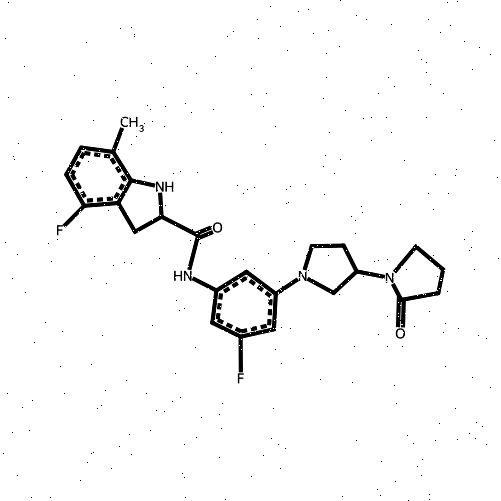 Cc1ccc(F)c2c1NC(C(=O)Nc1cc(F)cc(N3CCC(N4CCCC4=O)C3)c1)C2